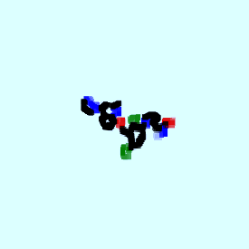 Cc1cc(-n2cccn2)c2cccc(OCc3c(Cl)ccc(-n4cccc4/C=N\O)c3Cl)c2n1